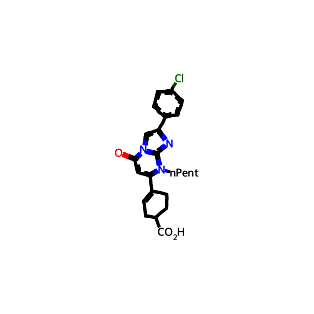 CCCCCn1c(C2=CCC(C(=O)O)CC2)cc(=O)n2cc(-c3ccc(Cl)cc3)nc12